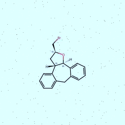 BrC[C@@H]1C[C@H]2c3ccccc3Cc3ccccc3[C@@H]2O1